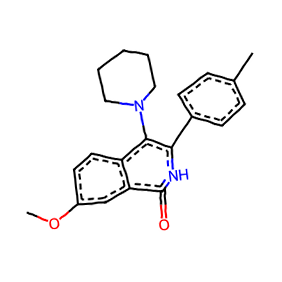 COc1ccc2c(N3CCCCC3)c(-c3ccc(C)cc3)[nH]c(=O)c2c1